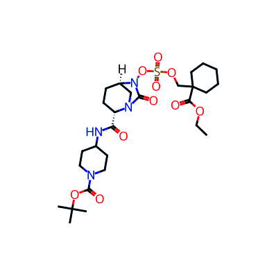 CCOC(=O)C1(COS(=O)(=O)ON2C(=O)N3C[C@H]2CC[C@H]3C(=O)NC2CCN(C(=O)OC(C)(C)C)CC2)CCCCC1